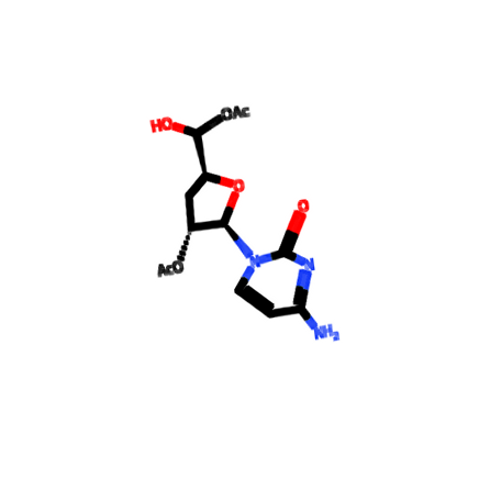 CC(=O)OC(O)[C@@H]1C[C@@H](OC(C)=O)[C@H](n2ccc(N)nc2=O)O1